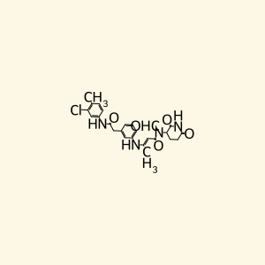 C/C(=C\C(=O)N(C=O)C1CCC(=O)NC1=O)Nc1cccc(CC(=O)Nc2ccc(C)c(Cl)c2)c1